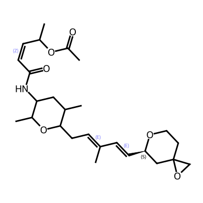 CC(=O)OC(C)/C=C\C(=O)NC1CC(C)C(C/C=C(C)/C=C/[C@@H]2CC3(CCO2)CO3)OC1C